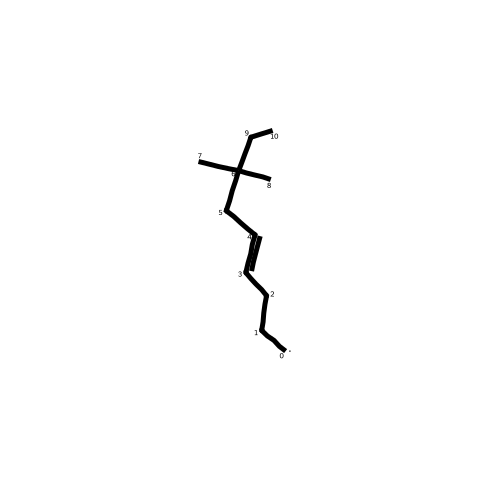 [CH2]CCC=CCC(C)(C)CC